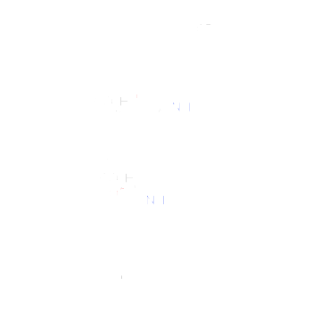 O=C(O)c1ccc(C(=O)O)c2c(C(=O)N[C@H]3CC[C@@H](C(F)(F)F)CC3)ccc(C(=O)N[C@H]3CC[C@@H](C(F)(F)F)CC3)c12